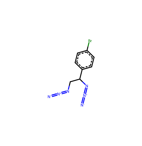 [N-]=[N+]=NCC(N=[N+]=[N-])c1ccc(Br)cc1